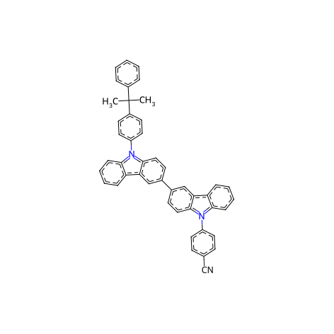 CC(C)(c1ccccc1)c1ccc(-n2c3ccccc3c3cc(-c4ccc5c(c4)c4ccccc4n5-c4ccc(C#N)cc4)ccc32)cc1